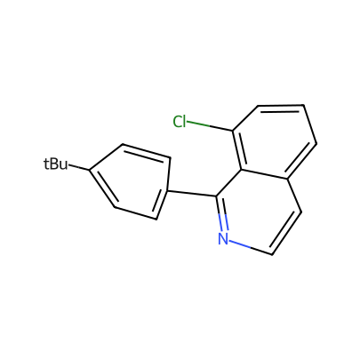 CC(C)(C)c1ccc(-c2nccc3cccc(Cl)c23)cc1